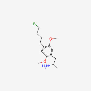 COc1cc(CC(C)N)c(OC)cc1CCCCF